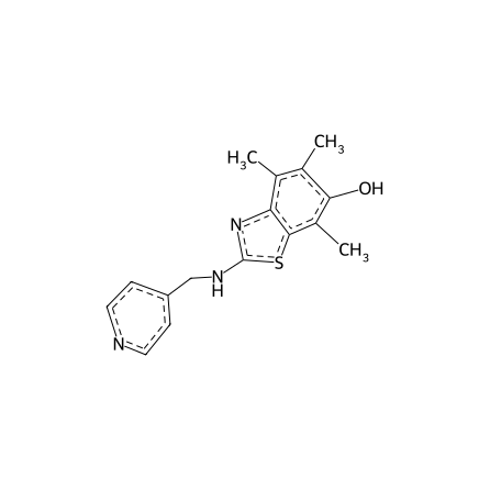 Cc1c(O)c(C)c2sc(NCc3ccncc3)nc2c1C